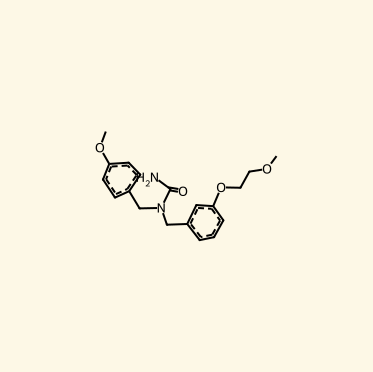 COCCOc1cccc(CN(Cc2ccc(OC)cc2)C(N)=O)c1